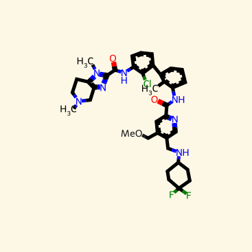 COCc1cc(C(=O)Nc2cccc(-c3cccc(NC(=O)c4nc5c(n4C)CCN(C)C5)c3Cl)c2C)ncc1CNC1CCC(F)(F)CC1